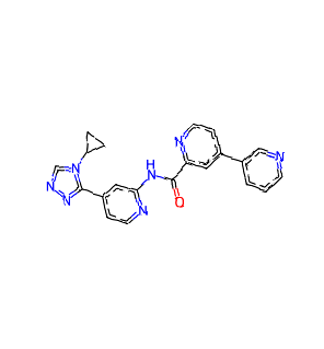 O=C(Nc1cc(-c2nncn2C2CC2)ccn1)c1cc(-c2cccnc2)ccn1